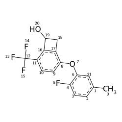 Cc1ccc(F)c(Oc2ccc(C(F)(F)F)c3c2CC3O)c1